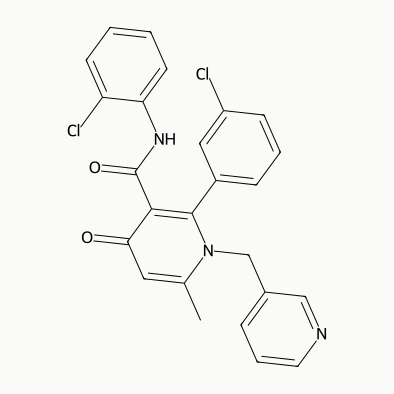 Cc1cc(=O)c(C(=O)Nc2ccccc2Cl)c(-c2cccc(Cl)c2)n1Cc1cccnc1